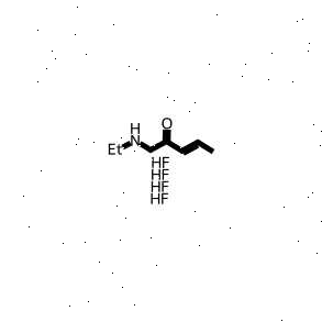 CC=CC(=O)CNCC.F.F.F.F